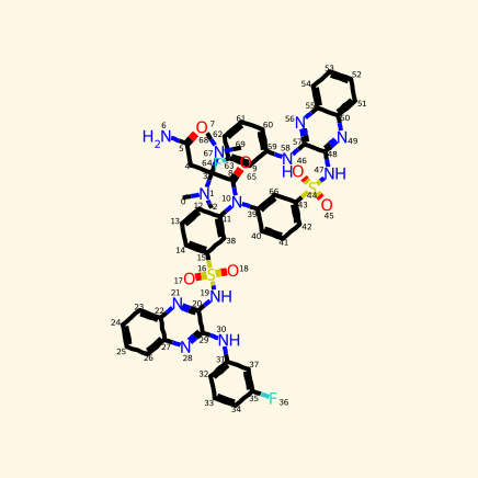 CN(C)C(CC(N)=O)(C(=O)N(c1cccc(S(=O)(=O)Nc2nc3ccccc3nc2Nc2cccc(F)c2)c1)c1cccc(S(=O)(=O)Nc2nc3ccccc3nc2Nc2cccc(F)c2)c1)N(C)C